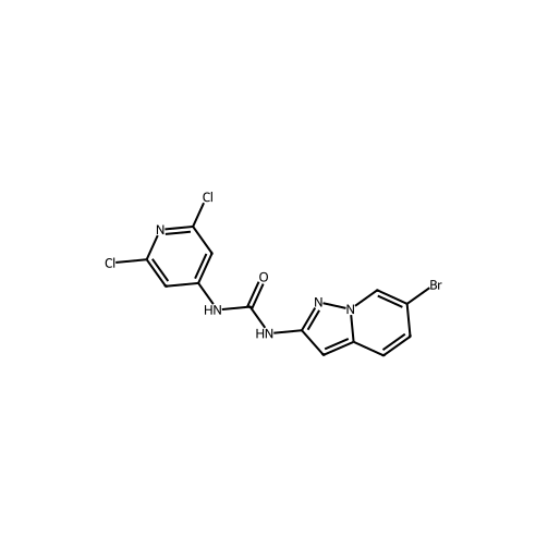 O=C(Nc1cc(Cl)nc(Cl)c1)Nc1cc2ccc(Br)cn2n1